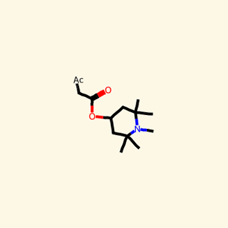 CC(=O)CC(=O)OC1CC(C)(C)N(C)C(C)(C)C1